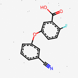 N#Cc1cccc(Oc2ccc(F)c(C(=O)O)c2)c1